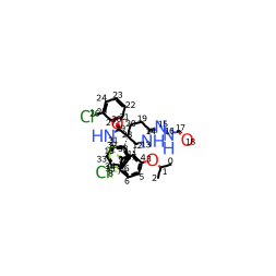 CC(C)Oc1ccc(F)c(F)c1[C@H]1N/C(=N\NC=O)C[C@@H](C2C=CC=C(Cl)C2)[C@]12C(=O)Nc1cc(Cl)ccc12